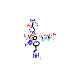 NCCC1CCCN(c2ccc(S(=O)(=O)NCC(O)CN)c(S(N)(=O)=O)c2-c2nn[nH]n2)CC1.O=C(O)C(F)(F)F.O=C(O)C(F)(F)F